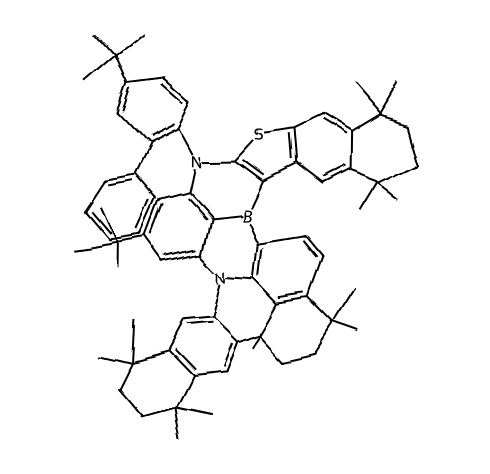 CC(C)(C)c1ccc(N2c3cc(C(C)(C)C)cc4c3B(c3ccc5c6c3N4c3cc4c(cc3C6(C)CCC5(C)C)C(C)(C)CCC4(C)C)c3c2sc2cc4c(cc32)C(C)(C)CCC4(C)C)c(-c2ccccc2)c1